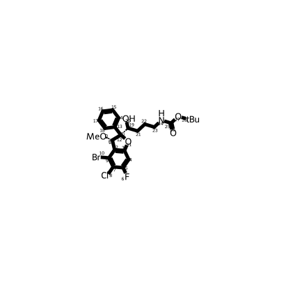 CO[C@H]1c2c(cc(F)c(Cl)c2Br)O[C@@]1(c1ccccc1)C(O)CCCNC(=O)OC(C)(C)C